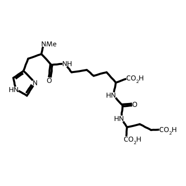 CNC(Cc1c[nH]cn1)C(=O)NCCCCC(NC(=O)NC(CCC(=O)O)C(=O)O)C(=O)O